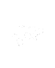 OB(O)c1cc(-c2cccc3ccccc23)cc2oc3ccccc3c12